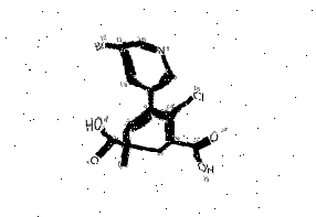 CC1(C(=O)O)C=C(c2cncc(Br)c2)C(Cl)=C(C(=O)O)C1